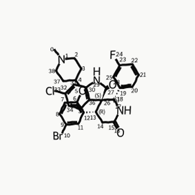 CN1CCC(Oc2ccc(Br)cc2[C@H]2CC(=O)N[C@@H](c3cccc(F)c3)[C@]23C(=O)Nc2cc(Cl)ccc23)CC1